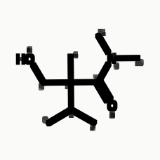 CC(C)C(C)(CO)C(=O)N(C)C